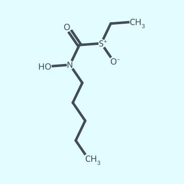 CCCCCN(O)C(=O)[S+]([O-])CC